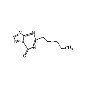 CCCCCC1=NC(=O)C2=NC=NC2=N1